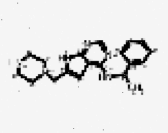 CC(Nc1ncnc2[nH]c(CN3CCNCC3)cc12)c1ccccc1